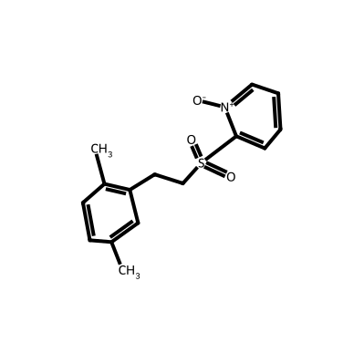 Cc1ccc(C)c(CCS(=O)(=O)c2cccc[n+]2[O-])c1